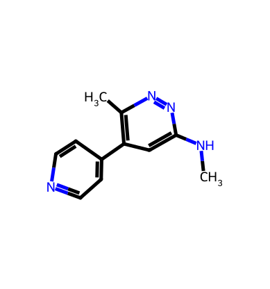 CNc1cc(-c2ccncc2)c(C)nn1